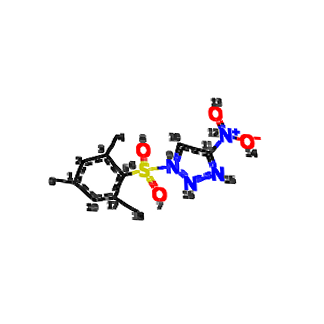 Cc1cc(C)c(S(=O)(=O)n2cc([N+](=O)[O-])nn2)c(C)c1